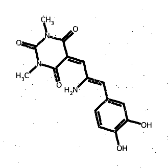 CN1C(=O)C(=C/C(N)=C/c2ccc(O)c(O)c2)C(=O)N(C)C1=O